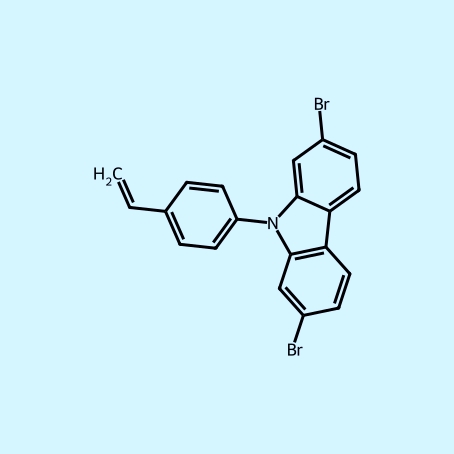 C=Cc1ccc(-n2c3cc(Br)ccc3c3ccc(Br)cc32)cc1